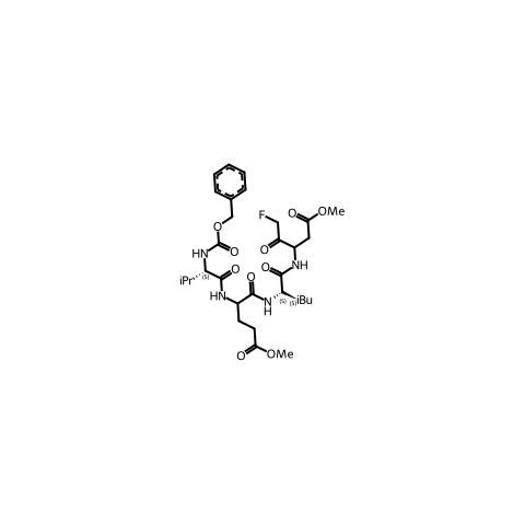 CC[C@H](C)[C@H](NC(=O)C(CCC(=O)OC)NC(=O)[C@@H](NC(=O)OCc1ccccc1)C(C)C)C(=O)NC(CC(=O)OC)C(=O)CF